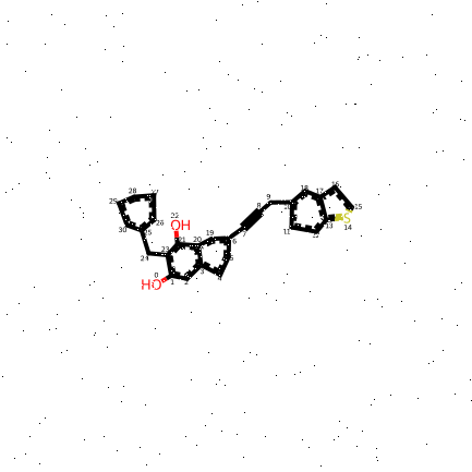 Oc1cc2ccc(C#CCc3ccc4sccc4c3)cc2c(O)c1Cc1ccccc1